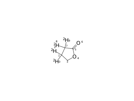 [2H]C1([2H])COC(=O)C1([2H])[2H]